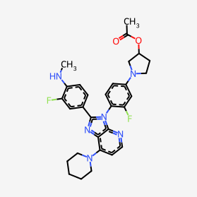 CNc1ccc(-c2nc3c(N4CCCCC4)ccnc3n2-c2ccc(N3CCC(OC(C)=O)C3)cc2F)cc1F